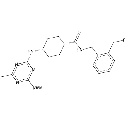 CNc1nc(Cl)nc(N[C@H]2CC[C@@H](C(=O)NCc3ccccc3CF)CC2)n1